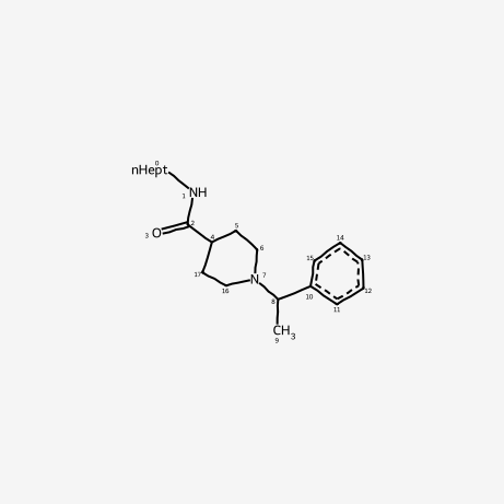 CCCCCCCNC(=O)C1CCN(C(C)c2ccccc2)CC1